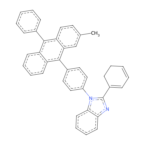 Cc1ccc2c(-c3ccccc3)c3ccccc3c(-c3ccc(-n4c(C5=CC=CCC5)nc5ccccc54)cc3)c2c1